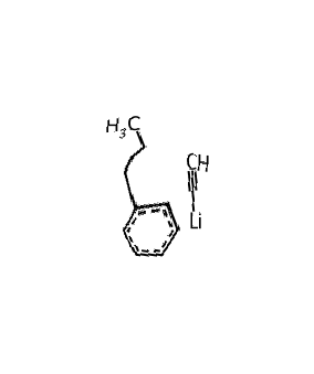 CCCc1ccccc1.[Li][C]#C